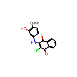 COc1ccc(NC2=C(Cl)C(=O)c3ccccc3C2=O)cc1O